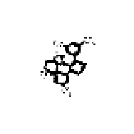 FC(F)(F)c1cc(-c2cccc(-c3cc(C(F)(F)F)cc(C(F)(F)F)c3)c2N2[C]SC3=C2CCCC3)cc(C(F)(F)F)c1